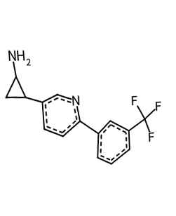 NC1CC1c1ccc(-c2cccc(C(F)(F)F)c2)nc1